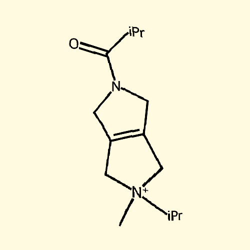 CC(C)C(=O)N1CC2=C(C1)C[N+](C)(C(C)C)C2